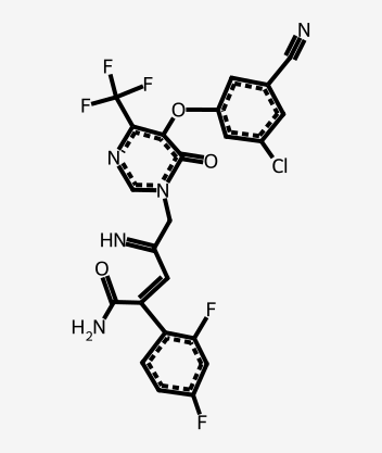 N#Cc1cc(Cl)cc(Oc2c(C(F)(F)F)ncn(CC(=N)/C=C(\C(N)=O)c3ccc(F)cc3F)c2=O)c1